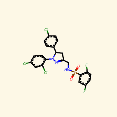 O=S(=O)(NCC1=NN(c2ccc(Cl)cc2Cl)C(c2ccc(Cl)cc2)C1)c1cc(F)ccc1F